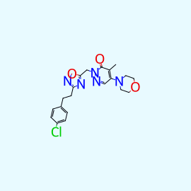 Cc1c(N2CCOCC2)cnn(Cc2nc(CCc3ccc(Cl)cc3)no2)c1=O